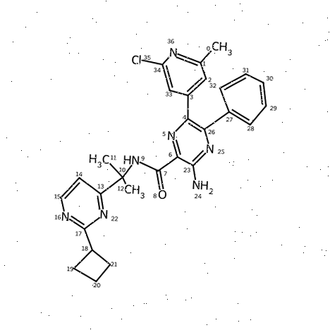 Cc1cc(-c2nc(C(=O)NC(C)(C)c3ccnc(C4CCC4)n3)c(N)nc2-c2ccccc2)cc(Cl)n1